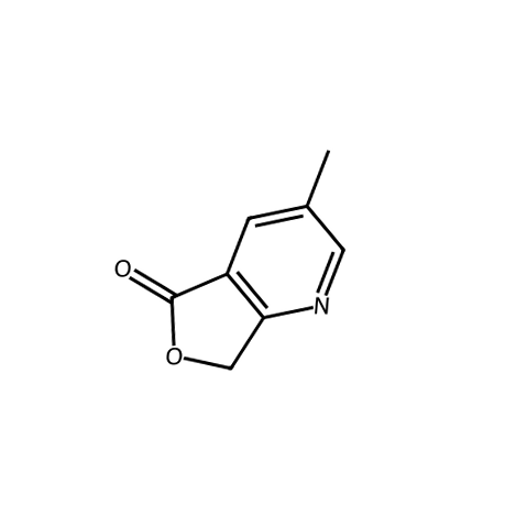 Cc1cnc2c(c1)C(=O)OC2